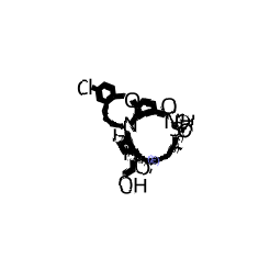 CO[C@]1(CCCO)/C=C/C[C@H](C)[C@@H](C)S(=O)(=O)NC(=O)c2ccc3c(c2)N(CCCCc2cc(Cl)ccc2CO3)C[C@@H]2CC[C@H]21